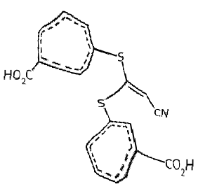 N#CC=C(Sc1cccc(C(=O)O)c1)Sc1cccc(C(=O)O)c1